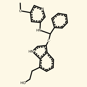 COc1cncc(NC([CH]c2c[nH]c3c(CCO)cccc23)c2ccccc2)c1